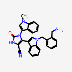 Cn1cc(-n2c(-c3cn(Cc4ccccc4CN)c4ccccc34)c(C#N)[nH]c2=O)c2ccccc21